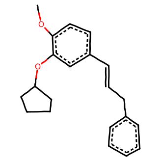 COc1ccc(C=CCc2ccccc2)cc1OC1CCCC1